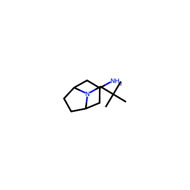 CC(C)(C)CN1C2CCC1CC(N)C2